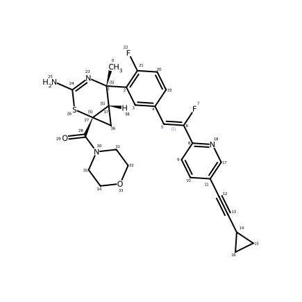 C[C@]1(c2cc(/C=C(\F)c3ccc(C#CC4CC4)cn3)ccc2F)N=C(N)S[C@@]2(C(=O)N3CCOCC3)C[C@H]21